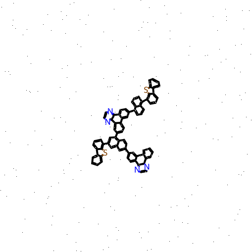 c1ccc2c(c1)sc1c(-c3cc(-c4ccc5c6cc(-c7cccc8c(-c9cccc%10c9sc9ccccc9%10)cccc78)ccc6c6nccnc6c5c4)c4ccc(-c5ccc6c(c5)c5ccccc5c5nccnc65)cc4c3)cccc12